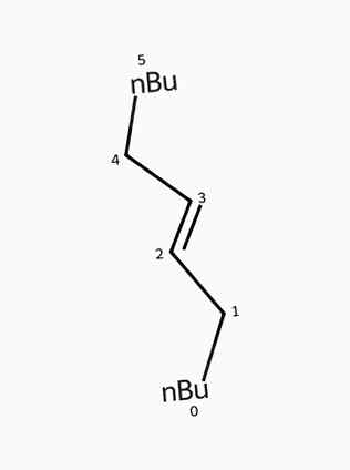 [CH2]CCCC/C=C/CCC[CH]C